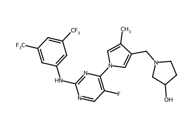 Cc1cn(-c2nc(Nc3cc(C(F)(F)F)cc(C(F)(F)F)c3)ncc2F)cc1CN1CCC(O)C1